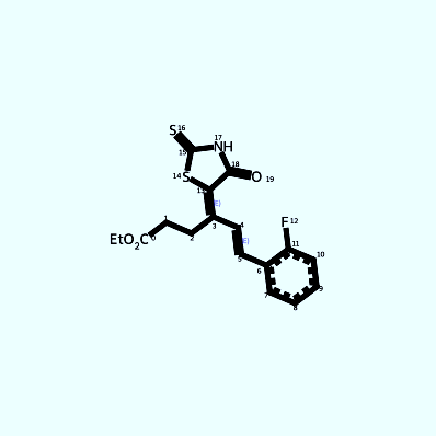 CCOC(=O)CCC(/C=C/c1ccccc1F)=C1\SC(=S)NC1=O